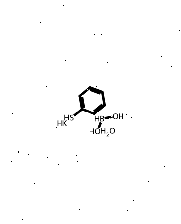 O.OBO.Sc1ccccc1.[KH]